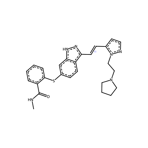 CNC(=O)c1ccccc1Sc1ccc2c(/C=C/c3ccnn3CCN3CCCC3)n[nH]c2c1